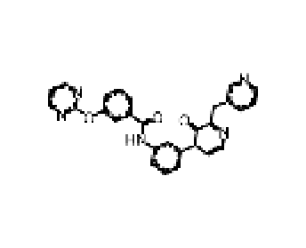 O=C(Nc1cccc(C2C=CN=C(Cc3cccnc3)C2=O)c1)c1cccc(Oc2ncccn2)c1